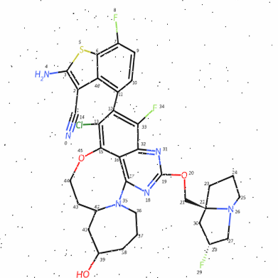 N#Cc1c(N)sc2c(F)ccc(-c3c(Cl)c4c5c(nc(OC[C@@]67CCCN6C[C@H](F)C7)nc5c3F)N3CCCC(O)CC3CCO4)c12